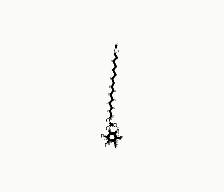 CCCCCCCCCCCCCCCCCCOC(=O)Oc1c(F)c(F)c(F)c(F)c1F